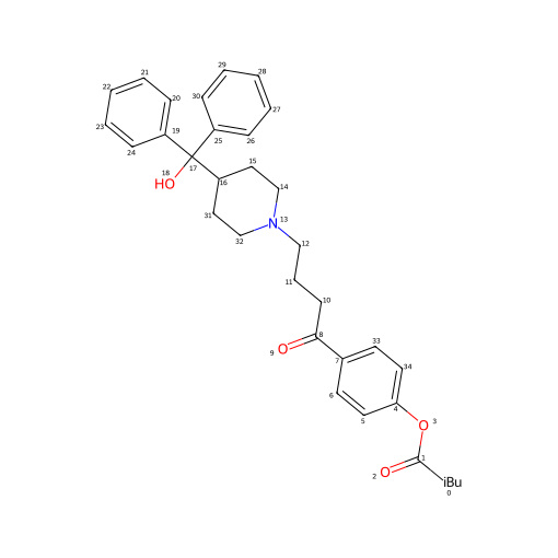 CCC(C)C(=O)Oc1ccc(C(=O)CCCN2CCC(C(O)(c3ccccc3)c3ccccc3)CC2)cc1